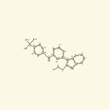 COCc1nc2ccccc2n1-c1cncc(Nc2ccc(C(F)(F)F)cc2)n1